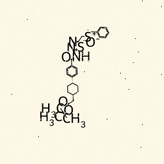 CC(C)(C)OC(=O)C[C@H]1CC[C@H](c2ccc(C(=O)Nc3nnc(C[S+]([O-])Cc4ccccc4)s3)cc2)CC1